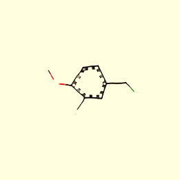 CCOc1ccc(CF)cc1N=O